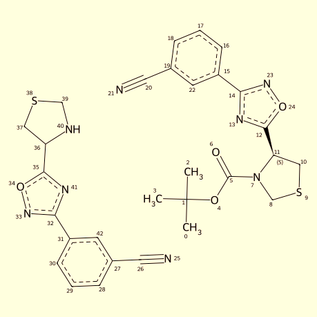 CC(C)(C)OC(=O)N1CSC[C@@H]1c1nc(-c2cccc(C#N)c2)no1.N#Cc1cccc(-c2noc(C3CSCN3)n2)c1